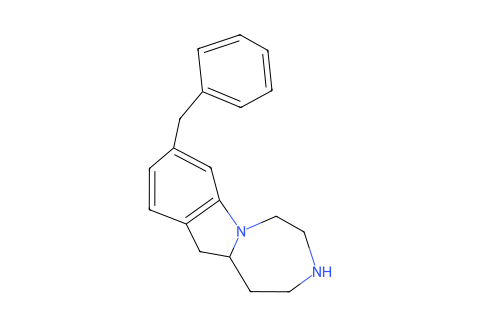 c1ccc(Cc2ccc3c(c2)N2CCNCCC2C3)cc1